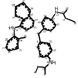 CCC(C)Nc1ccc(Cc2ccc(NC(C)CC)cc2)cc1.Cc1ccccc1Nc1cccc2ccccc12